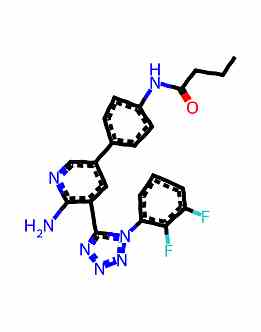 CCCC(=O)Nc1ccc(-c2cnc(N)c(-c3nnnn3-c3cccc(F)c3F)c2)cc1